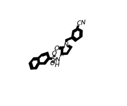 N#Cc1cccc(CN2CC[C@H](NS(=O)(=O)c3ccc4ccccc4c3)C2=O)c1